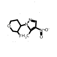 Cc1c([N+](=O)[O-])cnn1C1CCOCC1F